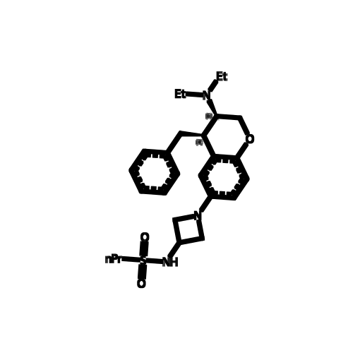 CCCS(=O)(=O)NC1CN(c2ccc3c(c2)[C@@H](Cc2ccccc2)[C@@H](N(CC)CC)CO3)C1